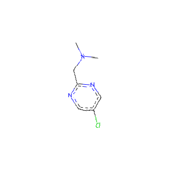 CN(C)Cc1ncc(Cl)cn1